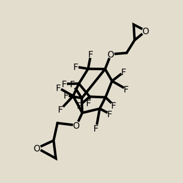 FC1(F)C2(F)C(F)(F)C3(OCC4CO4)C(F)(F)C1(F)C(F)(F)C(OCC1CO1)(C2(F)F)C3(F)F